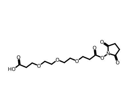 O=C(O)CCOCCOCCOCCC(=O)ON1C(=O)CCC1=O